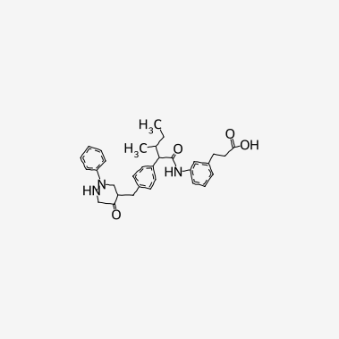 CCC(C)C(C(=O)Nc1cccc(CCC(=O)O)c1)c1ccc(CC2CN(c3ccccc3)NCC2=O)cc1